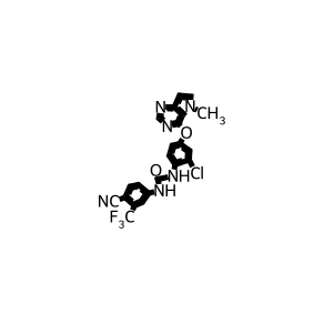 Cn1ccc2ncnc(Oc3ccc(NC(=O)Nc4ccc(C#N)c(C(F)(F)F)c4)c(Cl)c3)c21